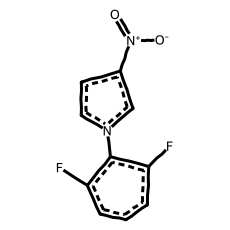 O=[N+]([O-])c1ccn(-c2c(F)cccc2F)c1